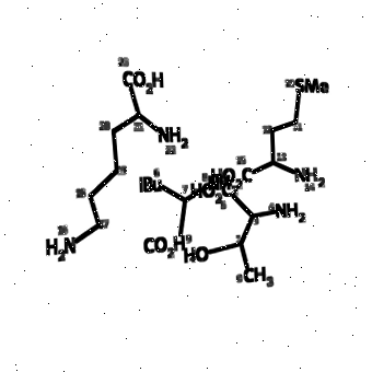 CC(O)C(N)C(=O)O.CCC(C)C(N)C(=O)O.CSCCC(N)C(=O)O.NCCCCC(N)C(=O)O